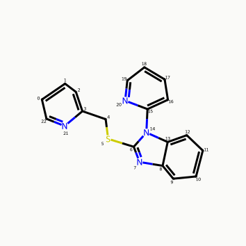 c1ccc(CSc2nc3ccccc3n2-c2ccccn2)nc1